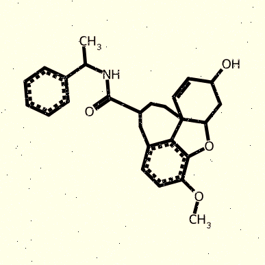 COc1ccc2c3c1OC1CC(O)C=CC31CCC(C(=O)NC(C)c1ccccc1)C2